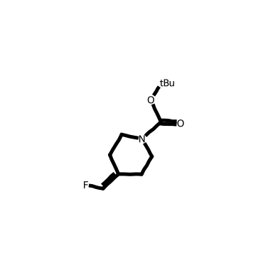 CC(C)(C)OC(=O)N1CCC(=CF)CC1